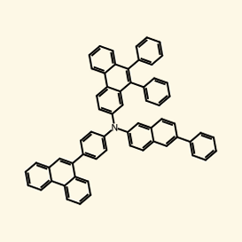 c1ccc(-c2ccc3cc(N(c4ccc(-c5cc6ccccc6c6ccccc56)cc4)c4ccc5c(c4)c(-c4ccccc4)c(-c4ccccc4)c4ccccc45)ccc3c2)cc1